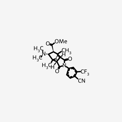 COC(=O)[C@@H]1[C@@H](N(C)C)C2(C)OC1(C)[C@@H]1C(=O)N(c3ccc(C#N)c(C(F)(F)F)c3)C(=O)[C@@H]12